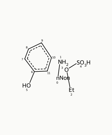 CCCCCCCCCN.CCOS(=O)(=O)O.Oc1ccccc1